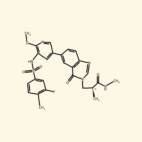 CNC(=O)[C@@H](C)Cn1cnc2ccc(-c3cnc(OC)c(NS(=O)(=O)c4ccc(C)c(F)c4)c3)cc2c1=O